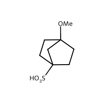 COC12CCC(S(=O)(=O)O)(CC1)C2